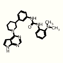 CN(C)c1ccccc1NC(=O)Nc1cccc(C2CCCN(c3ncnc4[nH]ccc34)C2)c1